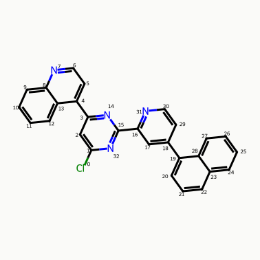 Clc1cc(-c2ccnc3ccccc23)nc(-c2cc(-c3cccc4ccccc34)ccn2)n1